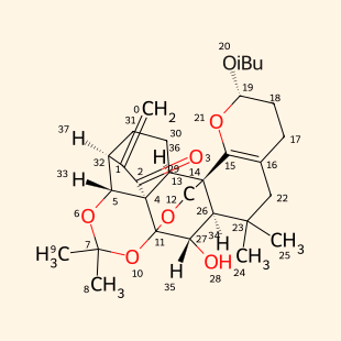 C=C1C(=O)[C@@]23[C@@H]4OC(C)(C)OC25OC[C@]2(C6=C(CC[C@@H](OCC(C)C)O6)CC(C)(C)[C@H]2[C@@H]5O)[C@@H]3CC[C@@H]14